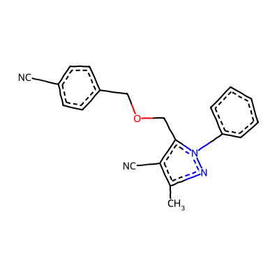 Cc1nn(-c2ccccc2)c(COCc2ccc(C#N)cc2)c1C#N